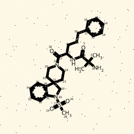 CC(C)(N)C(=O)NC(CCCc1ccccc1)C(=O)N1CCC2(CC1)CN(S(C)(=O)=O)c1ccccc12